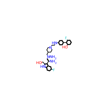 N/C(=C\N(N)CC1CCN(CCNc2ccc(-c3c(O)cccc3F)cc2)CC1)c1c(CO)[nH]c2ccc(F)cc12